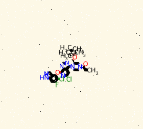 C=CC(=O)N1CCN(c2ncnc3c(Oc4c(Cl)c(F)cc5[nH]ncc45)nc(Cl)cc23)[C@@H](CO[Si](C)(C)C(C)(C)C)C1